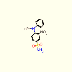 CCCN(c1ccccc1)c1ccc(S(N)(=O)=O)cc1[N+](=O)[O-]